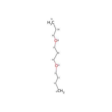 CCCCOCCCOCCC